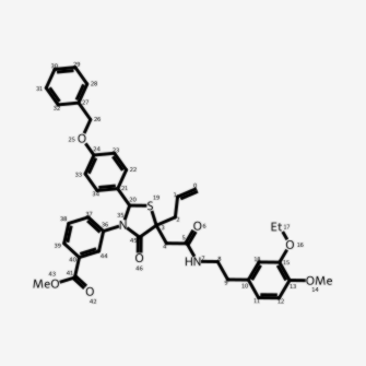 C=CCC1(CC(=O)NCCc2ccc(OC)c(OCC)c2)SC(c2ccc(OCc3ccccc3)cc2)N(c2cccc(C(=O)OC)c2)C1=O